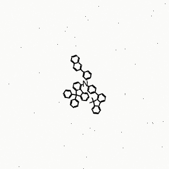 CC1(C)c2ccccc2-c2cccc(-c3ccc(N(c4cccc(-c5ccc6ccccc6c5)c4)c4cccc5c4-c4ccccc4C5(c4ccccc4)c4ccccc4)cc3)c21